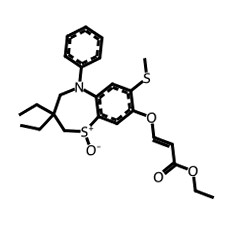 CCOC(=O)/C=C/Oc1cc2c(cc1SC)N(c1ccccc1)CC(CC)(CC)C[S+]2[O-]